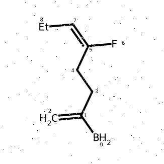 BC(=C)CC/C(F)=C\CC